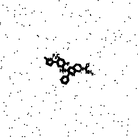 Cn1ccc(-c2cc(Nc3cc4c(nc3-c3ccccc3)CN(C(N)=O)CC4)c(F)cc2C(F)(F)F)n1